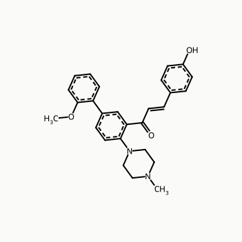 COc1ccccc1-c1ccc(N2CCN(C)CC2)c(C(=O)/C=C/c2ccc(O)cc2)c1